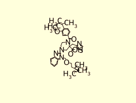 COc1cc(C(=O)N2CCN(c3nc4ccccc4n3COCC[Si](C)(C)C)CC2(Cc2cscn2)C(=O)O)ccc1C(C)(C)C